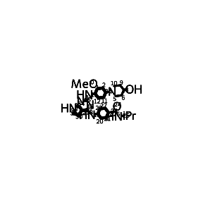 COc1cc(N2CCC(O)CC2)ccc1Nc1nc(Nc2ccc(C(=O)NC(C)C)cc2)c2cc[nH]c2n1